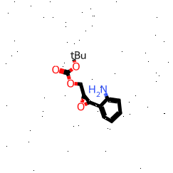 CC(C)(C)OC(=O)OCC1OC1c1ccccc1N